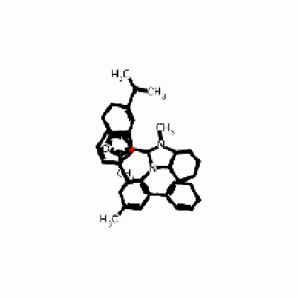 CC1=CC(C2=CCCC=C2)=C(N2C3CCCCC3N(C)C2c2c(C)oc3c2C=C(C(C)C)CC3)C(C2C=CC=CC2)C1